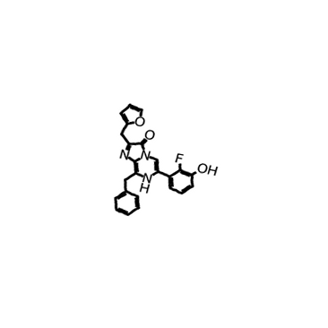 O=c1c(Cc2ccco2)nc2c(Cc3ccccc3)[nH]c(-c3cccc(O)c3F)cn1-2